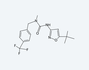 CN(Cc1ccc(C(F)(F)F)cc1)C(=O)Nc1cc(C(C)(C)C)on1